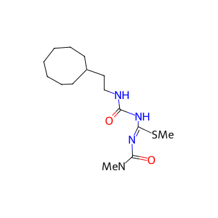 CNC(=O)N=C(NC(=O)NCCC1CCCCCCC1)SC